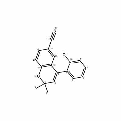 CC1(C)C=C(c2cccc[n+]2[O-])c2cc(C#N)ccc2O1